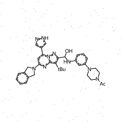 CC(=O)N1CCN(c2cccc(NC(O)c3nn4c(-c5cn[nH]c5)cc(N5Cc6ccccc6C5)nc4c3C(C)(C)C)c2)CC1